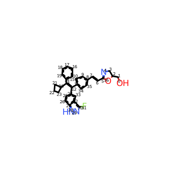 OCC1CN=C(/C=C/c2ccc(/C(=C(\c3ccccc3)C3CCC3)c3ccc4[nH]nc(F)c4c3)cc2)O1